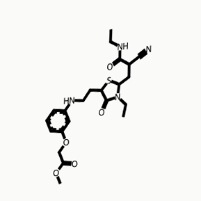 CCNC(=O)C(C#N)CC1SC(CCNc2cccc(OCC(=O)OC)c2)C(=O)N1CC